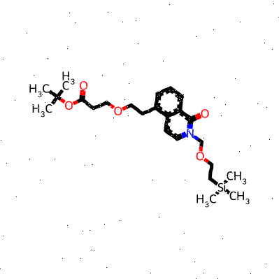 CC(C)(C)OC(=O)CCOCCc1cccc2c(=O)n(COCC[Si](C)(C)C)ccc12